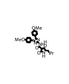 COc1ccc(-c2nc(NC(=O)C3=C(O)C(CC(C)C)NC3=O)nn2-c2ccc(OC)cc2)cc1